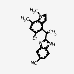 C=C(c1nc2cc(C#N)ccc2[nH]1)c1c(CC)cc(C)c2c1ccn2C